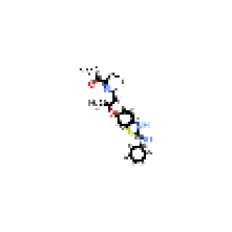 C=C(/C=C\N=C(/C)C(=O)NC)OC1C=CC2=C(C1)SC(NC1CCCCC1)N2